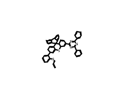 C=C/C=N\c1ccccc1C1C=C2SC3C=C(c4nc(-c5ccccc5)nc(-c5ccccc5)n4)C=CC3C3(C2=CC1)c1ccccc1-c1ccccc13